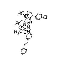 CC(C)CC(C(=O)NC(CC(=O)O)c1ccc(Cl)cc1)N1C(=O)N(Cc2ccc(C=Cc3ccccc3)cc2)C(C)(C)C1=O